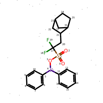 O=S(=O)(O[I+](c1ccccc1)c1ccccc1)C(F)(F)CC1CC2CCC1C2